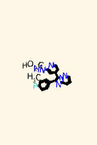 Cc1cc(-c2nc3cccnn3c2-c2ccnc(NC(=O)O)c2)ccc1F